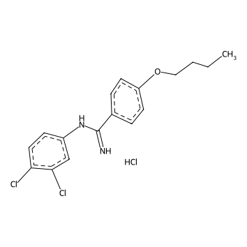 CCCCOc1ccc(C(=N)Nc2ccc(Cl)c(Cl)c2)cc1.Cl